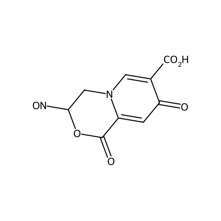 O=NC1Cn2cc(C(=O)O)c(=O)cc2C(=O)O1